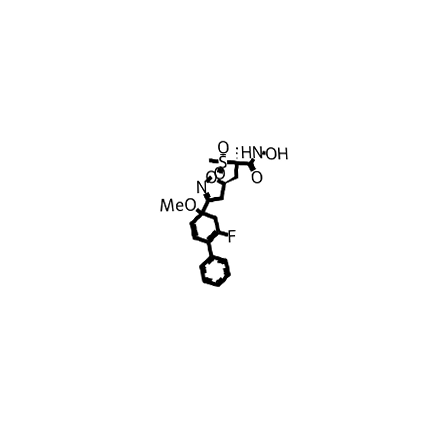 COC1(C2=NO[C@@H](C[C@](C)(C(=O)NO)S(C)(=O)=O)C2)C=CC(c2ccccc2)=C(F)C1